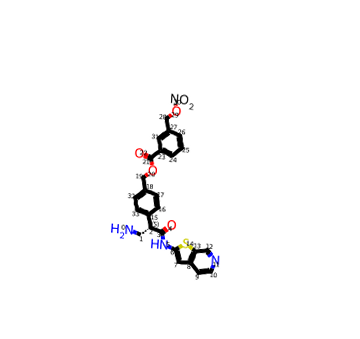 NC[C@@H](C(=O)Nc1cc2ccncc2s1)c1ccc(COC(=O)c2cccc(CO[N+](=O)[O-])c2)cc1